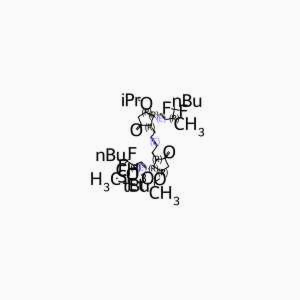 CCCCC(F)(F)[C@H](C)/C=C/[C@H]1[C@H](OC(C)C)CC(=O)[C@@H]1C/C=C/C[C@H]1C(=O)C[C@@H](OC(C)OCC)[C@@H]1/C=C/[C@@H](O[Si](C)(C)C(C)(C)C)C(F)(F)CCCC